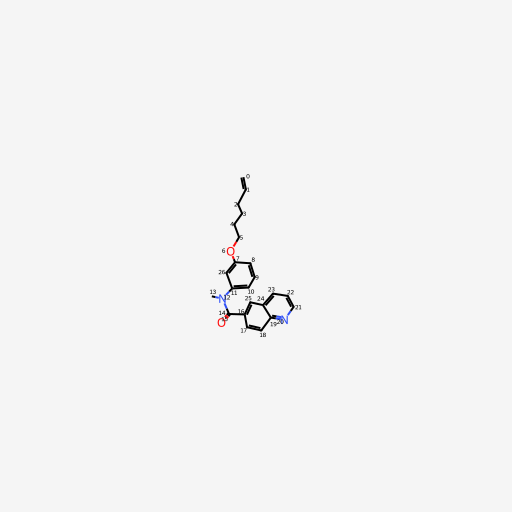 C=CCCCCOc1cccc(N(C)C(=O)c2ccc3ncccc3c2)c1